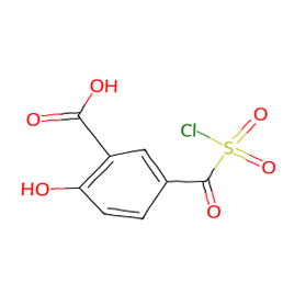 O=C(O)c1cc(C(=O)S(=O)(=O)Cl)ccc1O